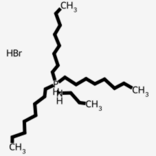 Br.CCCCCCCC[PH](CCCCCCCC)(CCCCCCCC)NCCC